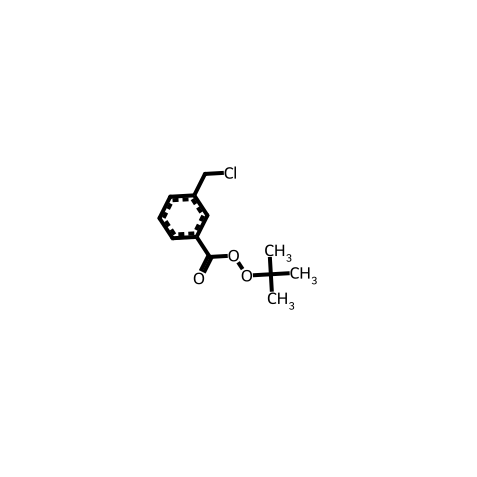 CC(C)(C)OOC(=O)c1cccc(CCl)c1